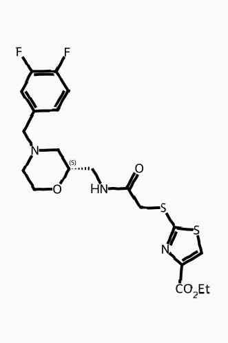 CCOC(=O)c1csc(SCC(=O)NC[C@H]2CN(Cc3ccc(F)c(F)c3)CCO2)n1